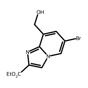 CCOC(=O)c1cn2cc(Br)cc(CO)c2n1